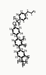 CCCc1ccc(C(F)(F)Oc2ccc(-c3ccc(-c4ccc(C(F)(F)F)c(F)c4)c(F)c3F)cc2)cc1